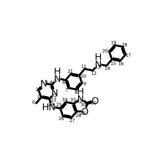 Cc1cnc(Nc2cccc(CCNCc3ccccc3)c2)nc1Nc1ccc2oc(=O)[nH]c2c1